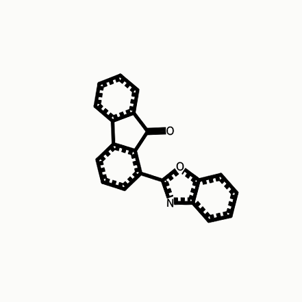 O=C1c2ccccc2-c2cccc(-c3nc4ccccc4o3)c21